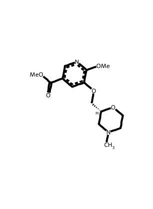 COC(=O)c1cnc(OC)c(OC[C@H]2CN(C)CCO2)c1